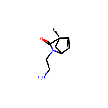 NCCN1C(=O)[C@@H]2C=CC1C2